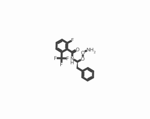 NOO[C@@H](Cc1ccccc1)NC(=O)c1c(F)cccc1C(F)(F)F